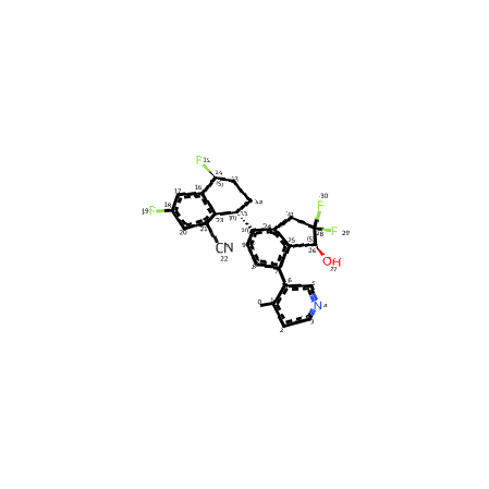 Cc1ccncc1-c1ccc([C@H]2CC[C@H](F)c3cc(F)cc(C#N)c32)c2c1[C@H](O)C(F)(F)C2